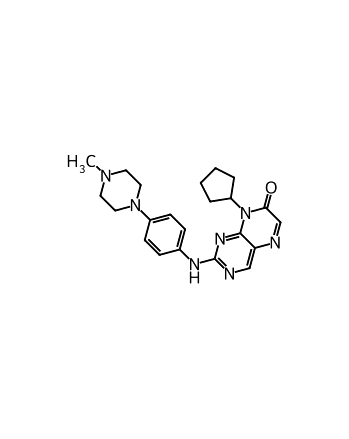 CN1CCN(c2ccc(Nc3ncc4ncc(=O)n(C5CCCC5)c4n3)cc2)CC1